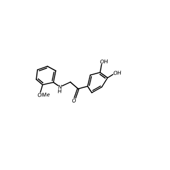 COc1ccccc1NCC(=O)c1ccc(O)c(O)c1